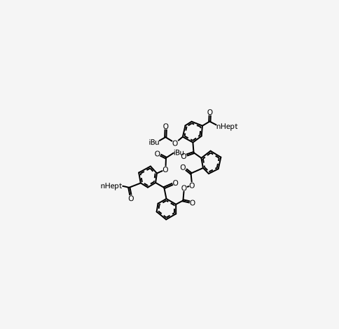 CCCCCCCC(=O)c1ccc(OC(=O)C(C)CC)c(C(=O)c2ccccc2C(=O)OOC(=O)c2ccccc2C(=O)c2cc(C(=O)CCCCCCC)ccc2OC(=O)C(C)CC)c1